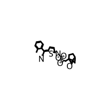 Cc1ccccc1C(C#N)=C1C=CC(=NOS(=O)(=O)CC23CCC(CC2=O)C3(C)C)S1